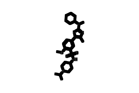 COc1ccc(-c2sc(N(C)C3CCCCC3)nc2C)cc1S(=O)(=O)NC1CCN(C(C)C)CC1